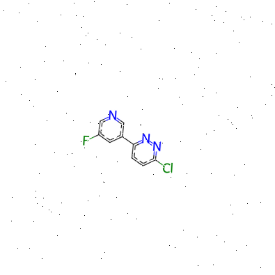 Fc1cncc(-c2ccc(Cl)nn2)c1